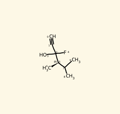 C#CC(O)(F)[C@H](C)C(C)C